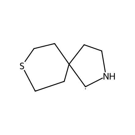 [CH]1NCCC12CCSCC2